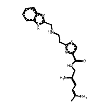 C/C(N)=C/C=C(\N)CNC(=O)c1csc(CCNCc2nc3ccccc3[nH]2)n1